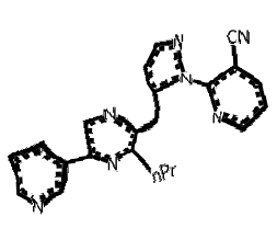 CCCc1nc(-c2cccnc2)cnc1Cc1ccnn1-c1ncccc1C#N